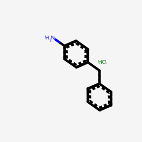 Cl.Nc1ccc(Cc2ccccc2)cc1